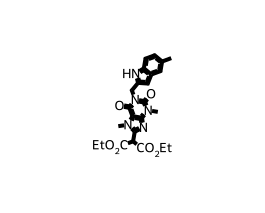 CCOC(=O)C(C(=O)OCC)c1nc2c(c(=O)n(Cc3cc4cc(C)ccc4[nH]3)c(=O)n2C)n1C